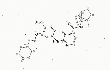 COc1ccc(Nc2nccc(C(=O)NC3CC4CCC3(C)C4(C)C)n2)cc1OCCN1CCOCC1